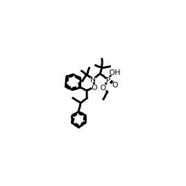 CCOP(=O)(O)C(N(OC(CC(C)c1ccccc1)c1ccccc1)C(C)(C)C)C(C)(C)C